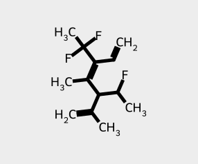 C=C/C(=C(/C)C(C(=C)C)C(C)F)C(C)(F)F